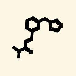 CN(C)C(=O)C=Cc1cccc(Cn2cncn2)c1